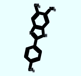 Cc1ccc(-c2nc3cc(C)c(N)cc3[nH]2)cc1